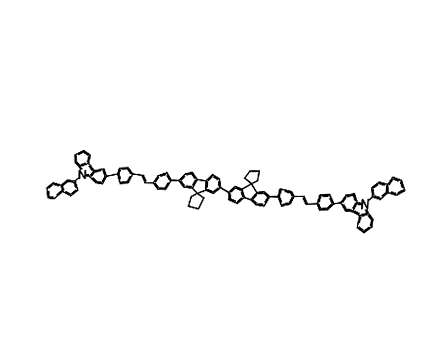 C(=C\c1ccc(-c2ccc3c(c2)c2ccccc2n3-c2ccc3ccccc3c2)cc1)/c1ccc(-c2ccc3c(c2)C2(CCCC2)c2cc(-c4ccc5c(c4)C4(CCCC4)c4cc(-c6ccc(/C=C/c7ccc(-c8ccc9c(c8)c8ccccc8n9-c8ccc9ccccc9c8)cc7)cc6)ccc4-5)ccc2-3)cc1